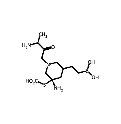 C[C@H](N)C(=O)CN1CC(CCB(O)O)C[C@](N)(SC(=O)O)C1